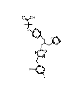 CC(C)(Sc1ccc(CN(Cc2ccco2)Cc2nc(Cc3ccc(F)cc3F)no2)cc1)C(=O)O